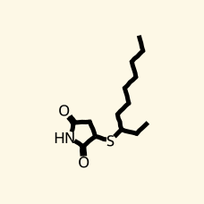 CCCCCCCC(CC)SC1CC(=O)NC1=O